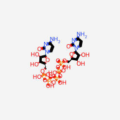 Nc1ccn([C@@H]2O[C@H](COP(=O)(O)OP(=O)(O)OP(=O)(O)OP(=O)(O)OP(=O)(O)OC[C@H]3O[C@@H](n4ccc(N)nc4=O)[C@H](O)[C@@H]3O)[C@@H](O)[C@H]2O)c(=O)n1